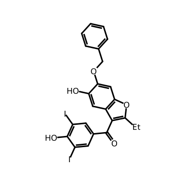 CCc1oc2cc(OCc3ccccc3)c(O)cc2c1C(=O)c1cc(I)c(O)c(I)c1